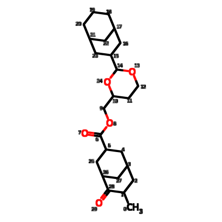 CC1CC2CC(C(=O)OCC3CCOC(C4CC5CCCC(C5)C4)O3)CC(C2)C1=O